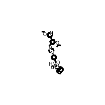 CCOc1cncc(-c2cc(CN3CCN(c4ccc(C(=O)NS(=O)(=O)CC56CC7CC(CC(C7)C5)C6)cc4)CC3)cc(OC(C)C)c2)c1